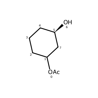 CC(=O)OC1CCC[C@@H](O)C1